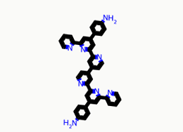 Nc1ccc(-c2cc(-c3ccccn3)nc(-c3cc(-c4ccnc(-c5cc(-c6ccc(N)cc6)cc(-c6ccccn6)n5)c4)ccn3)c2)cc1